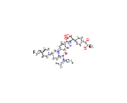 CCC(=O)C(=O)c1ccc([C@H](CO)NC(=O)c2ccc(N3CC(c4ccc(C(F)(F)F)cc4)CC[C@H]3C(=O)N(C)C3CC3)cc2)cc1